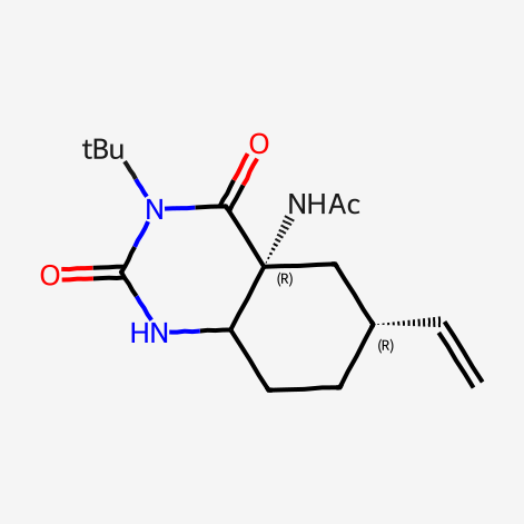 C=C[C@@H]1CCC2NC(=O)N(C(C)(C)C)C(=O)[C@@]2(NC(C)=O)C1